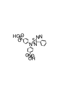 CN=Nc1sc(N(c2ccc(S(=O)(=O)O)cc2)c2ccc(S(=O)(=O)O)cc2)nc1-c1ccccc1